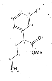 C=CCCC(C(=O)OC)c1cccc(I)c1